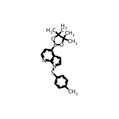 Cc1ccc(Sn2ccc3c(B4OC(C)(C)C(C)(C)O4)ccnc32)cc1